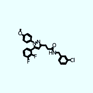 COc1ccc(-n2nc(CCC(=O)NCc3cccc(Cl)c3)cc2-c2cccc(F)c2F)cc1